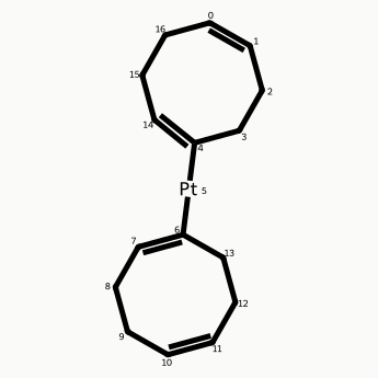 C1=CCC[C]([Pt][C]2=CCCC=CCC2)=CCC1